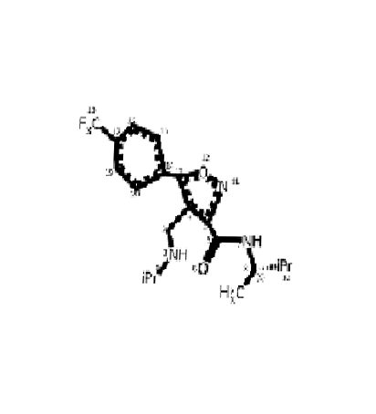 CC(C)NCc1c(C(=O)N[C@@H](C)C(C)C)noc1-c1ccc(C(F)(F)F)cc1